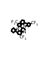 FC(F)(F)c1ccc(-c2ccncc2-n2c3ccccc3c3cc(C(F)(F)F)ccc32)c(-n2c3ccccc3c3cc(C(F)(F)F)ccc32)c1